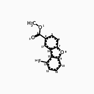 COC(=O)c1ccc2oc3cccc(F)c3c2c1